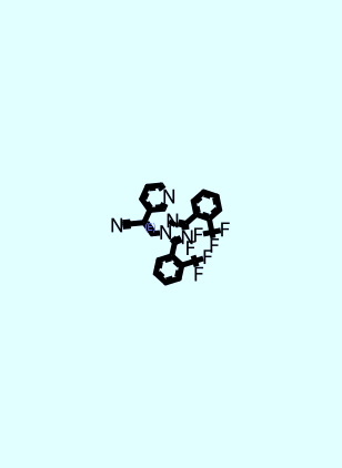 N#C/C(=C/n1nc(-c2ccccc2C(F)(F)F)nc1-c1ccccc1C(F)(F)F)c1cccnc1